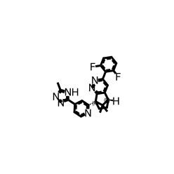 Cc1nnc(-c2ccnc([C@]34CC[C@@H](c5cc(-c6c(F)cccc6F)nnc53)C4(C)C)c2)[nH]1